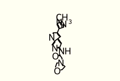 Cn1cc(-c2cnc3cnc(NC(=O)CN4CCOCC4)cc3c2)cn1